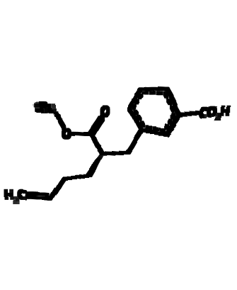 C=CCC[C@H](Cc1cccc(C(=O)O)c1)C(=O)OC(C)(C)C